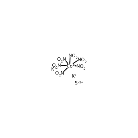 O=[N+]([O-])[Co-4]([N+](=O)[O-])([N+](=O)[O-])([N+](=O)[O-])([N+](=O)[O-])[N+](=O)[O-].[K+].[K+].[Sr+2]